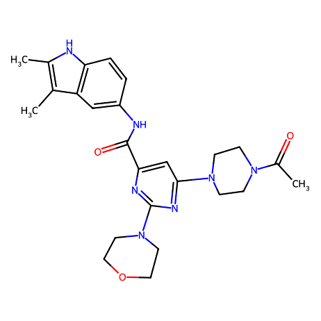 CC(=O)N1CCN(c2cc(C(=O)Nc3ccc4[nH]c(C)c(C)c4c3)nc(N3CCOCC3)n2)CC1